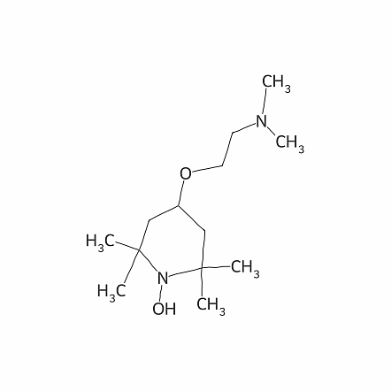 CN(C)CCOC1CC(C)(C)N(O)C(C)(C)C1